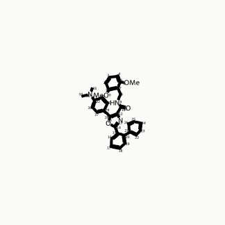 COc1cccc(OC)c1CNC(=O)c1nc(-c2ccccc2-c2ccccc2)oc1-c1ccc(N(C)C)cc1